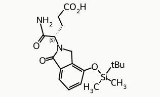 CC(C)(C)[Si](C)(C)Oc1cccc2c1CN([C@@H](CCC(=O)O)C(N)=O)C2=O